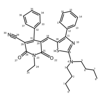 CCCCN(CCCC)c1nc(-c2ccccc2)c(/C=C2\C(=O)N(CC)C(=O)C(C#N)=C2c2ccccc2)s1